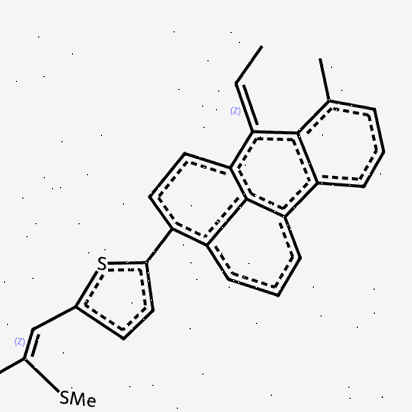 C/C=c1/c2ccc(-c3ccc(/C=C(/C)SC)s3)c3cccc(c4cccc(C)c14)c32